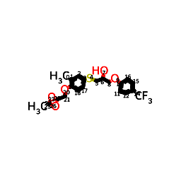 Cc1cc(SCC(O)COc2ccc(C(F)(F)F)cc2)ccc1OCC1OC(C)O1